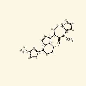 CN1C(=O)[C@@H](N2C=NN3C(c4cnn(C)c4)CCCC32)CCn2nccc21